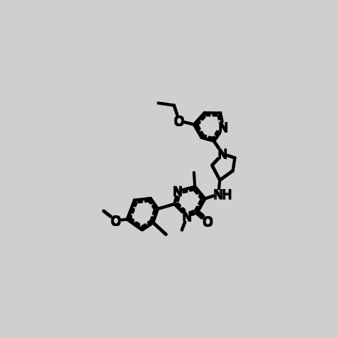 CCOc1ccnc(N2CCC(Nc3c(C)nc(-c4ccc(OC)cc4C)n(C)c3=O)C2)c1